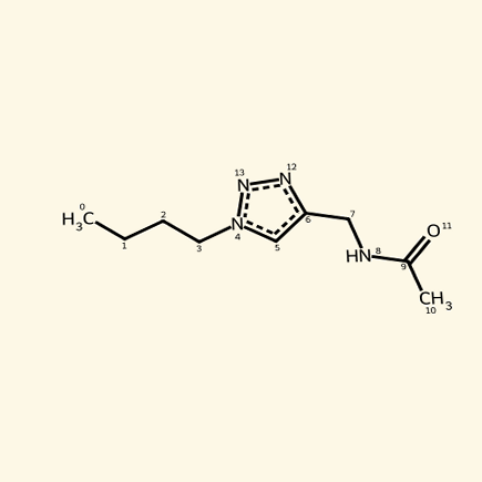 CCCCn1cc(CNC(C)=O)nn1